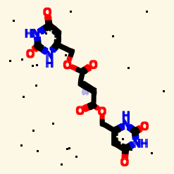 O=C(/C=C/C(=O)OCc1cc(=O)[nH]c(=O)[nH]1)OCc1cc(=O)[nH]c(=O)[nH]1